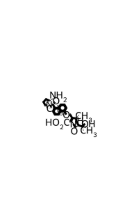 C[C@@H](O)[C@H]1C(=O)N2C(C(=O)O)=C(COc3cccc4c(C[N+]5(C)CCC[C@@H]5C(N)=O)cccc34)[C@H](C)[C@H]12